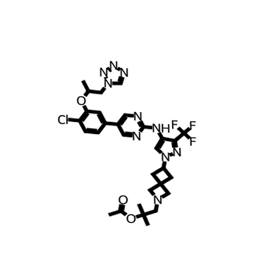 CC(=O)OC(C)(C)CN1CC2(CC(n3cc(Nc4ncc(-c5ccc(Cl)c(OC(C)Cn6cnnn6)c5)cn4)c(C(F)(F)F)n3)C2)C1